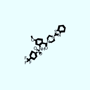 COc1ccc(C(=O)N2CCN(c3nc4ccccc4s3)CC2)c(NS(=O)(=O)c2ccc(C(F)(F)F)cc2)c1